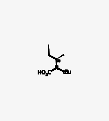 C[C@@H](CI)N(C(=O)O)C(C)(C)C